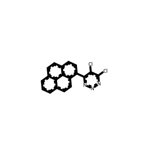 Clc1nnnc(-c2ccc3ccc4cccc5ccc2c3c45)c1Cl